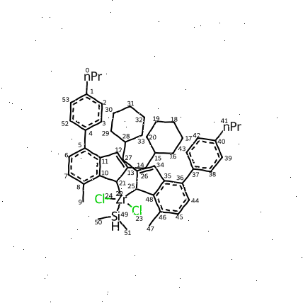 CCCc1ccc(-c2ccc(C)c3c2C=C(CC2CCCCC2)[CH]3[Zr]([Cl])([Cl])([CH]2C(CC3CCCCC3)=Cc3c(-c4ccc(CCC)cc4)ccc(C)c32)[SiH](C)C)cc1